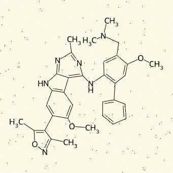 COc1cc(-c2ccccc2)c(Nc2nc(C)nc3[nH]c4cc(-c5c(C)noc5C)c(OC)cc4c23)cc1CN(C)C